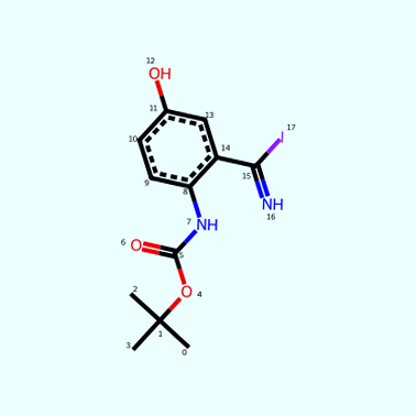 CC(C)(C)OC(=O)Nc1ccc(O)cc1C(=N)I